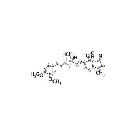 COc1ccc(CCNCC(O)COc2ccc(/C(C)=C\C#N)cc2OC)cc1OC.Cl